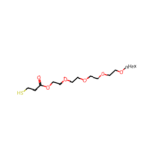 CCCCCCOCCOCCOCCOCCOC(=O)CCS